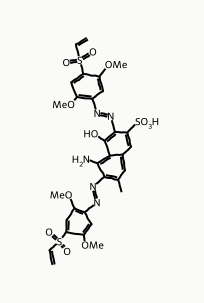 C=CS(=O)(=O)c1cc(OC)c(/N=N/c2c(C)cc3cc(S(=O)(=O)O)c(/N=N/c4cc(OC)c(S(=O)(=O)C=C)cc4OC)c(O)c3c2N)cc1OC